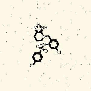 O=S(=O)(Nc1cc(Cl)ccc1CN1CCCc2nn[nH]c21)c1ccc(Cl)cc1